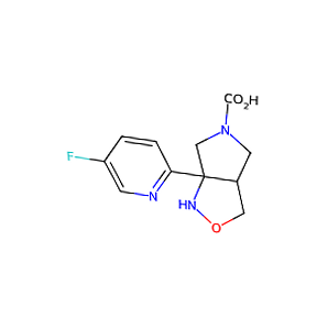 O=C(O)N1CC2CONC2(c2ccc(F)cn2)C1